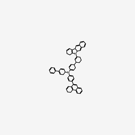 C1=CC2=C(CC1)N(C1=CC(C3C=CC(N(c4ccc(-c5cc6ccccc6c6c5C=CCC6)cc4)C4C=CC(c5ccccc5)=CC4)=CC3)CCC1)C1C=c3ccccc3=CC21